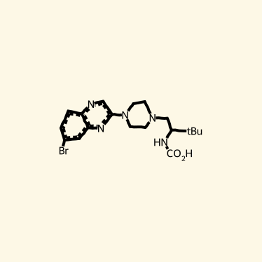 CC(C)(C)C(CN1CCN(c2cnc3ccc(Br)cc3n2)CC1)NC(=O)O